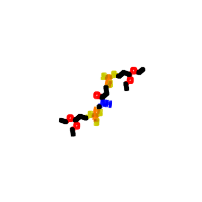 CCOC(CCS[PH](=S)SCCC(=O)NCS[PH](=S)SCCC(OCC)OCC)OCC